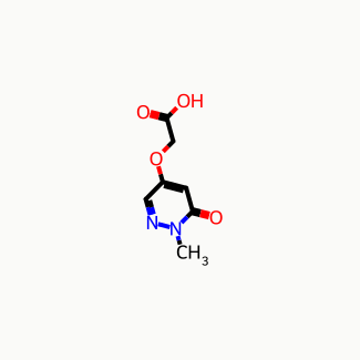 Cn1ncc(OCC(=O)O)cc1=O